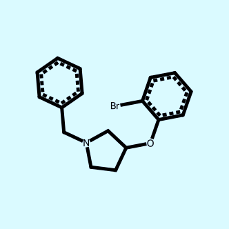 Brc1ccccc1OC1CCN(Cc2ccccc2)C1